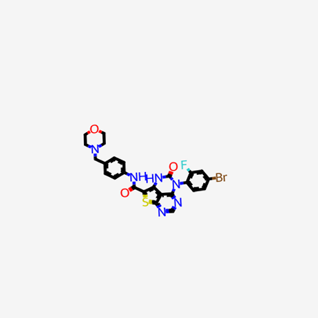 O=C(Nc1ccc(CN2CCOCC2)cc1)c1sc2ncnc3c2c1NC(=O)N3c1ccc(Br)cc1F